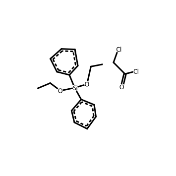 CCO[Si](OCC)(c1ccccc1)c1ccccc1.O=C(Cl)CCl